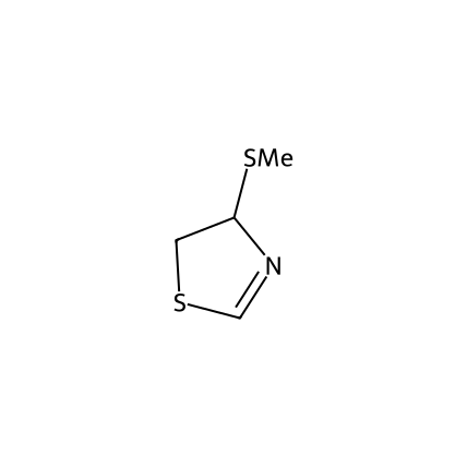 CSC1CSC=N1